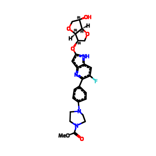 COC(=O)N1CCN(c2ccc(-c3nc4cc(O[C@@H]5CO[C@H]6[C@@H]5OC[C@H]6O)[nH]c4cc3F)cc2)CC1